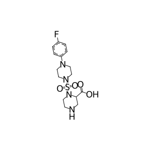 O=C(O)C1CNCCN1S(=O)(=O)N1CCN(c2ccc(F)cc2)CC1